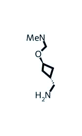 CNCO[C@H]1C[C@H](CN)C1